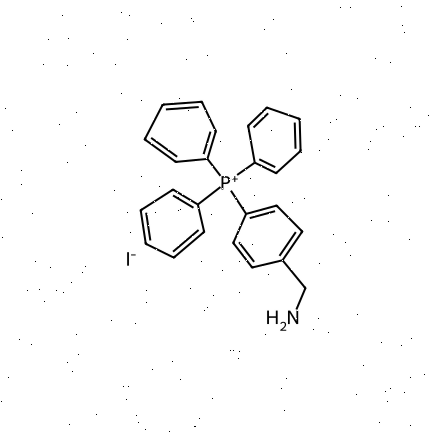 NCc1ccc([P+](c2ccccc2)(c2ccccc2)c2ccccc2)cc1.[I-]